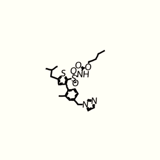 CCCCOC(=O)NS(=O)(=O)c1sc(CC(C)C)cc1-c1ccc(Cn2ccnc2)cc1C